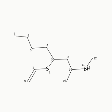 C=CSC(CCCC)CC(C)BC